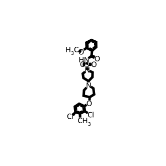 COc1ccccc1C(=O)NS(=O)(=O)N1CCC(N2CCC(Oc3ccc(Cl)c(C)c3Cl)CC2)CC1